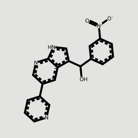 O=[N+]([O-])c1cccc(C(O)c2c[nH]c3ncc(-c4cccnc4)cc23)c1